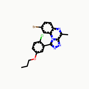 CCCOc1ccc(Cl)c(-c2nnc3c(C)nc4ccc(Br)cc4n23)c1